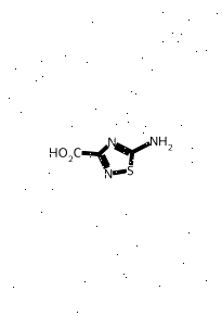 Nc1nc(C(=O)O)ns1